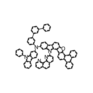 c1ccc(-c2cccc(-c3cccc(N(c4ccc5c6ccccc6n(-c6ccccc6)c5c4)c4ccc5c6ccc7oc8c(ccc9c%10ccccc%10c%10ccccc%10c98)c7c6n(-c6ccc7ccc8cccnc8c7n6)c5c4)c3)c2)cc1